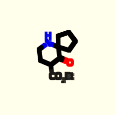 CCOC(=O)C1CCNC2(CCCC2)C1=O